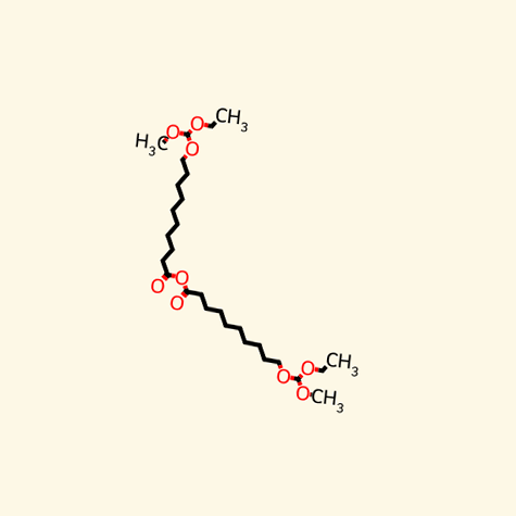 CCOC(OC)OCCCCCCCCCC(=O)OC(=O)CCCCCCCCCOC(OC)OCC